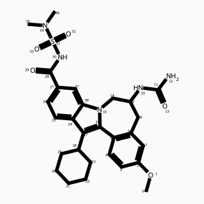 COc1ccc2c(c1)CC(NC(N)=O)Cn1c-2c(C2CCCCC2)c2ccc(C(=O)NS(=O)(=O)N(C)C)cc21